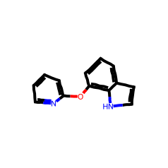 c1ccc(Oc2cccc3cc[nH]c23)nc1